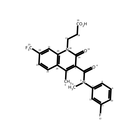 Cc1c(C(=O)N(C)c2cccc(F)c2)c(=O)n(CCC(=O)O)c2cc(C(F)(F)F)ccc12